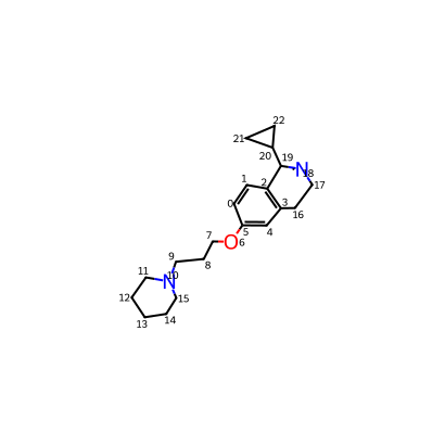 c1cc2c(cc1OCCCN1CCCCC1)CC[N]C2C1CC1